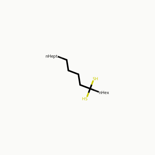 CCCCCCCCCCCC(S)(S)CCCCCC